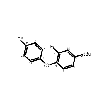 CC(C)(C)c1ccc(Oc2ccc(F)cc2)c(F)c1